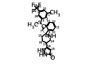 Cc1cc([C@@H](C)OC[C@@]2(c3ccccc3)CCC(c3cc(=O)[nH][nH]3)CN2)cc(C(F)(F)F)c1